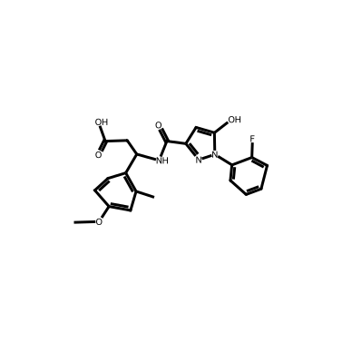 COc1ccc(C(CC(=O)O)NC(=O)c2cc(O)n(-c3ccccc3F)n2)c(C)c1